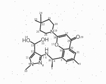 Cc1cc([C@@H](C)Nc2nn(C)cc2C(O)O)c2oc(N3CCC(C)(C)CC3)cc(=O)c2c1